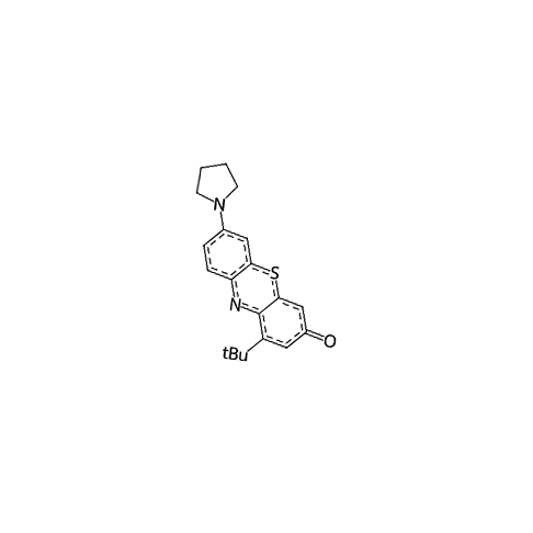 CC(C)(C)c1cc(=O)cc2sc3cc(N4CCCC4)ccc3nc1-2